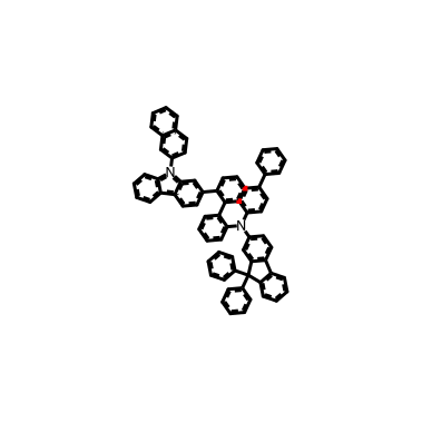 c1ccc(-c2ccc(N(c3ccc4c(c3)C(c3ccccc3)(c3ccccc3)c3ccccc3-4)c3ccccc3-c3ccccc3-c3ccc4c5ccccc5n(-c5ccc6ccccc6c5)c4c3)cc2)cc1